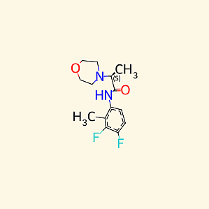 Cc1c(NC(=O)[C@H](C)N2CCOCC2)ccc(F)c1F